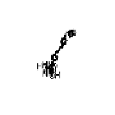 CC(O)C(NC(=O)c1ccc(C=CC=Cc2ccc(CN3CCOCC3)cc2)cc1)C(=O)NO